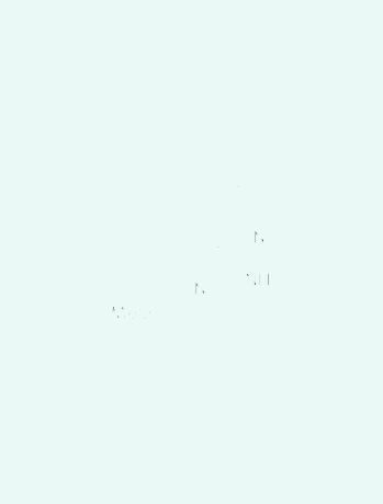 COc1ccc2c(C)n[nH]c2n1